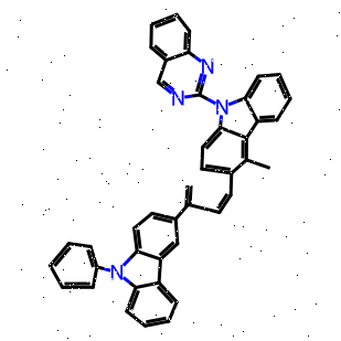 C=C(/C=C\c1ccc2c(c1C)c1ccccc1n2-c1ncc2ccccc2n1)c1ccc2c(c1)c1ccccc1n2-c1ccccc1